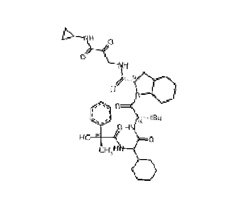 CC(C)(C)[C@H](NC(=O)C(NC(=O)[C@](C)(O)c1ccccc1)C1CCCCC1)C(=O)N1C2CCCCC2C[C@H]1C(=O)NCC(=O)C(=O)NC1CC1